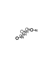 N#Cc1ccc(N2CCCC(N[C@@H]3CCCC[C@H]3Nc3ncc(-c4ccccc4)o3)C2)cc1